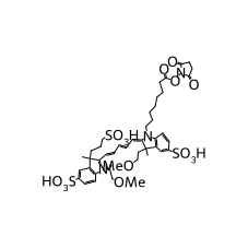 COCC[N+]1=C(/C=C/C=C/C=C2/N(CCCCCCCC(=O)ON3C(=O)CCC3=O)c3ccc(S(=O)(=O)O)cc3C2(C)CCOC)C(C)(CCCS(=O)(=O)O)c2cc(S(=O)(=O)O)ccc21